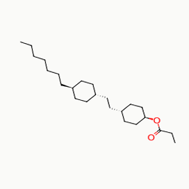 CCCCCCC[C@H]1CC[C@H](CC[C@H]2CC[C@H](OC(=O)CC)CC2)CC1